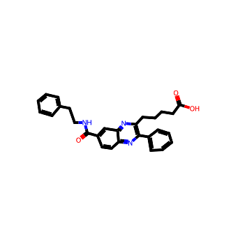 O=C(O)CCCCc1nc2cc(C(=O)NCCc3ccccc3)ccc2nc1-c1ccccc1